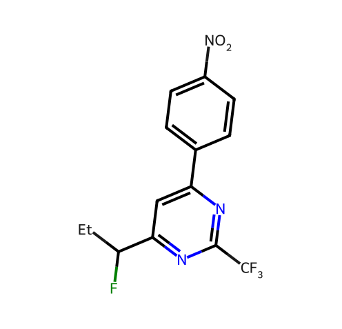 CCC(F)c1cc(-c2ccc([N+](=O)[O-])cc2)nc(C(F)(F)F)n1